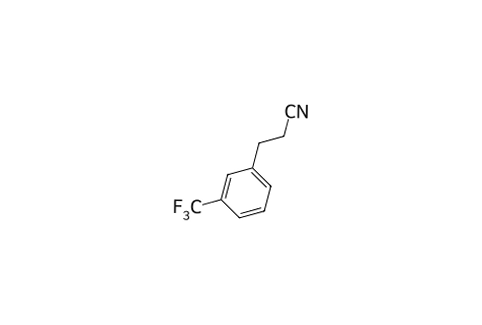 N#CCCc1cccc(C(F)(F)F)c1